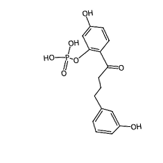 O=C(CCCc1cccc(O)c1)c1ccc(O)cc1OP(=O)(O)O